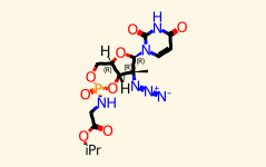 CC(C)OC(=O)CNP1(=O)OC[C@H]2O[C@@H](n3ccc(=O)[nH]c3=O)[C@](C)(N=[N+]=[N-])[C@@H]2O1